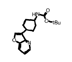 CC(C)(C)OC(=O)NC1CCC(c2coc3cccnc23)CC1